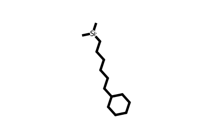 C[Si](C)CCCCCCC1CCCCC1